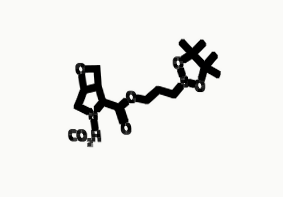 CC1(C)OB(CCCOC(=O)C2C3COC3CN2C(=O)O)OC1(C)C